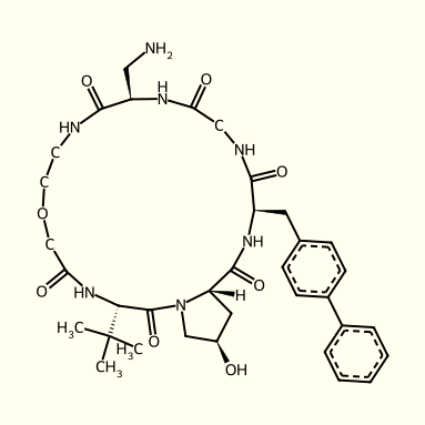 CC(C)(C)[C@@H]1NC(=O)COCCNC(=O)[C@@H](CN)NC(=O)CNC(=O)[C@@H](Cc2ccc(-c3ccccc3)cc2)NC(=O)[C@@H]2C[C@@H](O)CN2C1=O